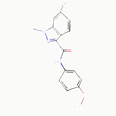 Cn1nc(C(=O)Nc2ccc(OC(F)(F)F)cc2)c2ccc(Br)cc21